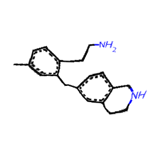 Cc1ccc(CCN)c(Cc2ccc3c(c2)CCNC3)c1